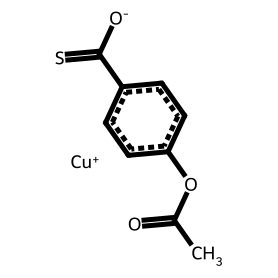 CC(=O)Oc1ccc(C([O-])=S)cc1.[Cu+]